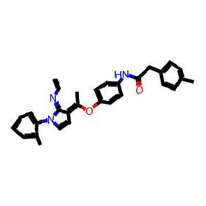 C=C/N=C1\C(=C(/C)Oc2ccc(NC(=O)Cc3ccc(C)cc3)cc2)C=CN1c1ccccc1C